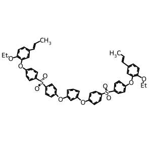 C/C=C/c1ccc(OCC)c(Oc2ccc(S(=O)(=O)c3ccc(Oc4cccc(Oc5ccc(S(=O)(=O)c6ccc(Oc7cc(/C=C/C)ccc7OCC)cc6)cc5)c4)cc3)cc2)c1